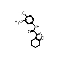 Cc1ccc(NC(=O)c2noc3c2CCCC3)cc1C